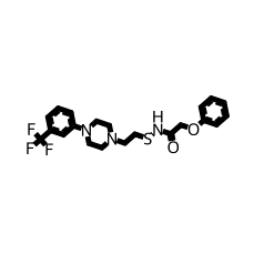 O=C(COc1ccccc1)NSCCN1CCN(c2cccc(C(F)(F)F)c2)CC1